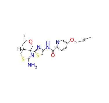 CC#CCOc1ccc(C(=O)Nc2csc(C34CO[C@@H](C)C[C@H]3CSC(N)=N4)n2)nc1